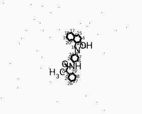 CC(C(=O)Nc1ccc(/N=C/c2c(O)ccc3ccccc23)cc1)c1ccccc1